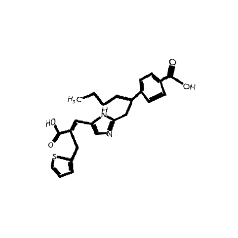 CCCCC(Cc1ncc(/C=C(\Cc2cccs2)C(=O)O)[nH]1)c1ccc(C(=O)O)cc1